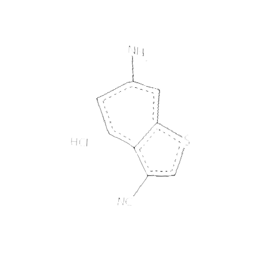 Cl.N#Cc1csc2cc(N)ccc12